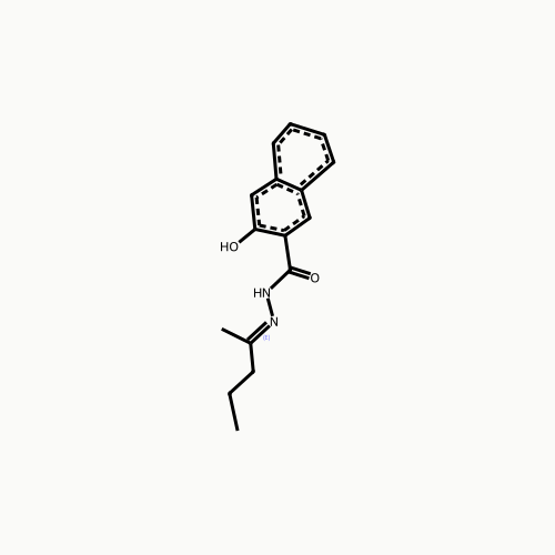 CCC/C(C)=N/NC(=O)c1cc2ccccc2cc1O